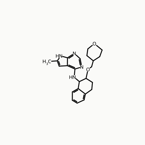 Cc1cc2c(NC3c4ccccc4CCC3OCC3CCOCC3)ncnc2[nH]1